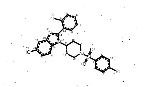 CCc1ccc(S(=O)(=O)N2CCC(n3c(-c4ccccc4Cl)nc4cc(O)ccc43)CC2)cc1